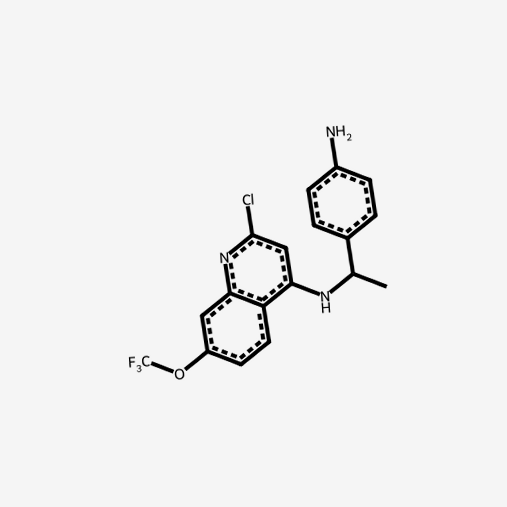 CC(Nc1cc(Cl)nc2cc(OC(F)(F)F)ccc12)c1ccc(N)cc1